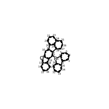 c1ccc2c(c1)B(c1c3c(cc4oc5ccccc5c14)-c1cccc4cccc-3c14)c1ccccc1-2